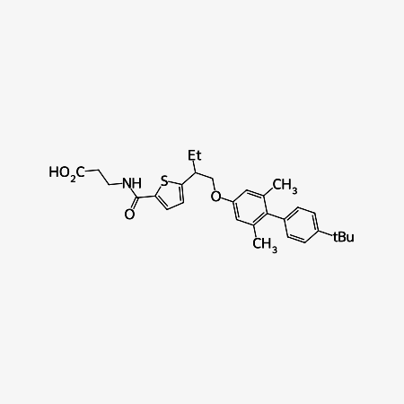 CCC(COc1cc(C)c(-c2ccc(C(C)(C)C)cc2)c(C)c1)c1ccc(C(=O)NCCC(=O)O)s1